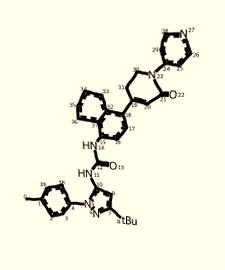 Cc1ccc(-n2nc(C(C)(C)C)cc2NC(=O)Nc2ccc(C3=CC(=O)N(c4ccncc4)CC3)c3ccccc23)cc1